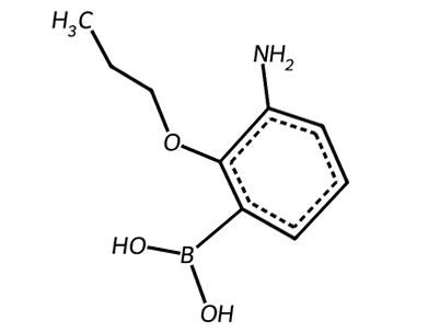 CCCOc1c(N)cccc1B(O)O